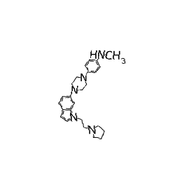 CNc1ccc(N2CCN(c3ccc4ccn(CCN5CCCC5)c4c3)CC2)cc1